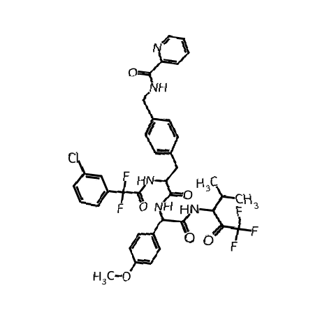 COc1ccc(C(NC(=O)C(Cc2ccc(CNC(=O)c3ccccn3)cc2)NC(=O)C(F)(F)c2cccc(Cl)c2)C(=O)NC(C(=O)C(F)(F)F)C(C)C)cc1